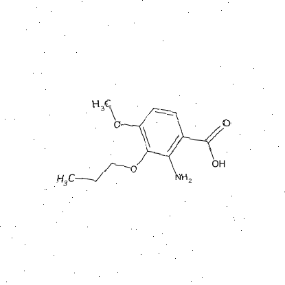 CCCOc1c(OC)ccc(C(=O)O)c1N